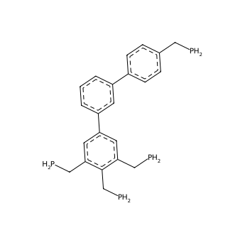 PCc1ccc(-c2cccc(-c3cc(CP)c(CP)c(CP)c3)c2)cc1